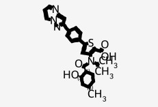 CC(C)N(C(=O)[C@H]1CC[C@H](C)C[C@@H]1O)c1cc(-c2ccc(-c3cc4ncccn4n3)cc2)sc1C(=O)O